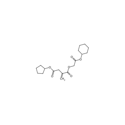 C=C(CC(=O)OC1CCCC1)C(=O)OCC(=O)OC1CCCCC1